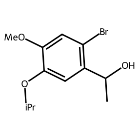 COc1cc(Br)c(C(C)O)cc1OC(C)C